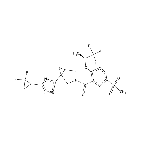 C[C@H](Oc1ccc(S(C)(=O)=O)cc1C(=O)N1CC2CC2(c2noc(C3CC3(F)F)n2)C1)C(F)(F)F